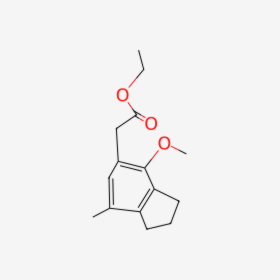 CCOC(=O)Cc1cc(C)c2c(c1OC)CCC2